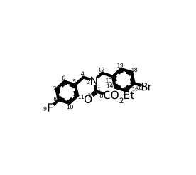 CCOC(=O)C(=O)N(Cc1ccc(F)cc1)Cc1ccc(Br)cc1